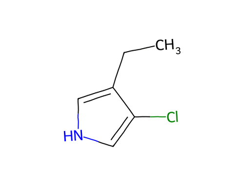 CCc1c[nH]cc1Cl